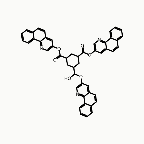 O=C(Oc1cnc2c(ccc3ccccc32)c1)C1CC(C(=O)Oc2cnc3c(ccc4ccccc43)c2)CC(C(O)Oc2cnc3c(ccc4ccccc43)c2)C1